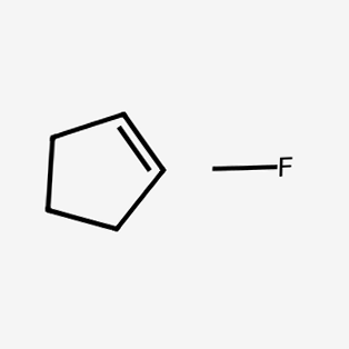 C1=CCCC1.CF